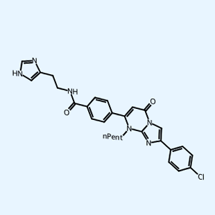 CCCCCn1c(-c2ccc(C(=O)NCCc3c[nH]cn3)cc2)cc(=O)n2cc(-c3ccc(Cl)cc3)nc12